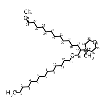 CCCCCCCCCCCCCCOCC(CCCCCCCCCCCC=O)[N+]1(C)CCOCC1.[Cl-]